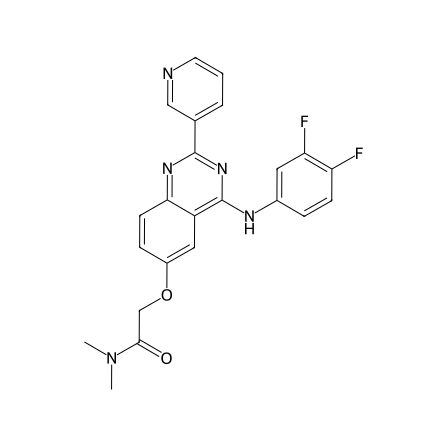 CN(C)C(=O)COc1ccc2nc(-c3cccnc3)nc(Nc3ccc(F)c(F)c3)c2c1